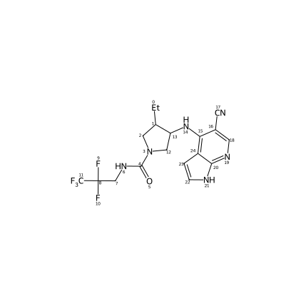 CCC1CN(C(=O)NCC(F)(F)C(F)(F)F)CC1Nc1c(C#N)cnc2[nH]ccc12